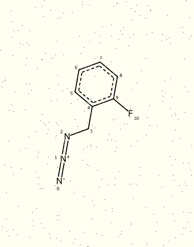 [N-]=[N+]=NCc1ccccc1F